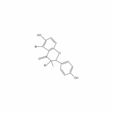 CC1(Br)C(=O)c2c(ccc(O)c2Br)OC1c1ccc(O)cc1